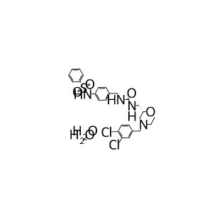 O.O.O=C(NCc1ccc(NS(=O)(=O)c2ccccc2)cc1)NC[C@H]1CN(Cc2ccc(Cl)c(Cl)c2)CCO1